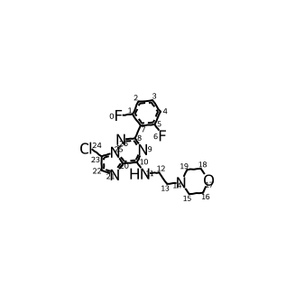 Fc1cccc(F)c1-c1nc(NCCN2CCOCC2)c2ncc(Cl)n2n1